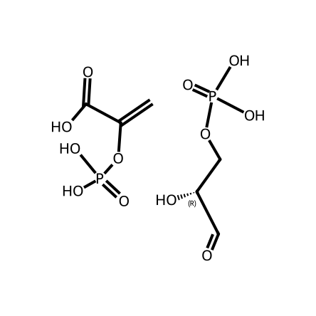 C=C(OP(=O)(O)O)C(=O)O.O=C[C@H](O)COP(=O)(O)O